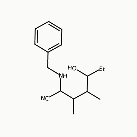 CCC(O)C(C)C(C)C(C#N)NCc1ccccc1